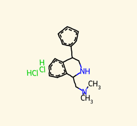 CN(C)CC1NCC(c2ccccc2)c2ccccc21.Cl.Cl